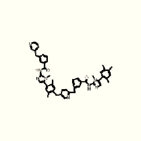 Cc1cc(C)c(-c2cnc(NC(=O)c3cccc(Cc4ccc(Cc5cc(C)c(-c6cnc(NC(=O)c7cccc(Cc8cccnc8)c7)n6C)cc5C)cn4)c3)n2C)cc1C